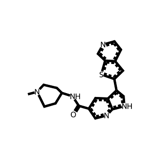 CN1CCC(NC(=O)c2cnc3[nH]cc(-c4cc5ccncc5s4)c3c2)CC1